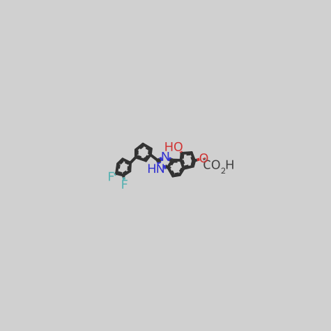 O=C(O)Oc1cc(O)c2c(ccc3[nH]c(-c4cccc(-c5ccc(F)c(F)c5)c4)nc32)c1